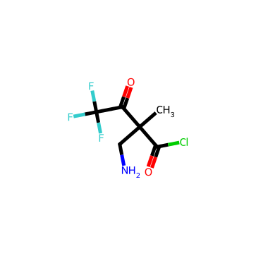 CC(CN)(C(=O)Cl)C(=O)C(F)(F)F